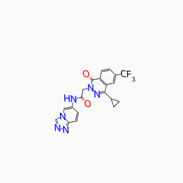 O=C(Cn1nc(C2CC2)c2cc(C(F)(F)F)ccc2c1=O)Nc1ccc2nncn2c1